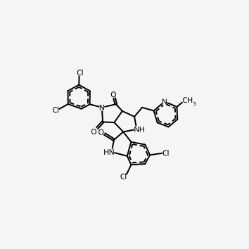 Cc1cccc(CC2NC3(C(=O)Nc4c(Cl)cc(Cl)cc43)C3C(=O)N(c4cc(Cl)cc(Cl)c4)C(=O)C23)n1